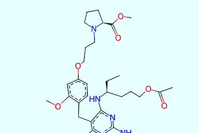 CC[C@@H](CCCOC(C)=O)Nc1nc(N)nc(C)c1Cc1ccc(OCCCN2CCC[C@H]2C(=O)OC)cc1OC